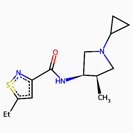 CCc1cc(C(=O)N[C@H]2CN(C3CC3)C[C@H]2C)ns1